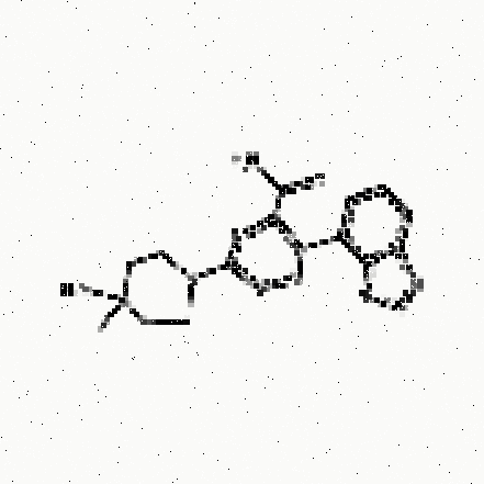 CC1(N)CCN(c2ncc(-c3cccc4nonc34)c(C(N)=O)n2)CC1